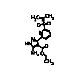 CCOC(=O)c1c(-c2cccc(S(=O)(=O)N(C)C)n2)n[nH]c1N